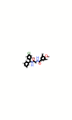 COc1c(C)cc(C(=O)NCC(=O)NC(c2ccccc2)c2ccc(Cl)cc2)cc1C